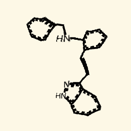 C(=Cc1n[nH]c2ccccc12)c1ccccc1NCc1ccccc1